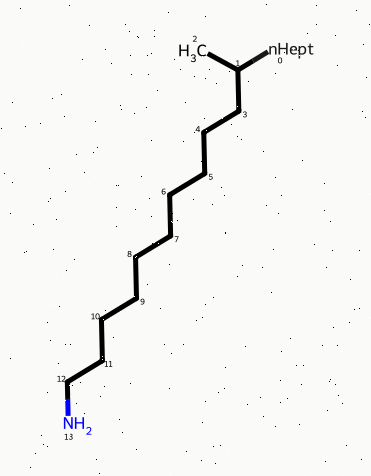 CCCCCCCC(C)CCCCCCCCCCN